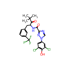 CC(C)(C)C(=O)C(Cc1cccc(C(F)(F)F)c1)NC(=O)c1ncn(-c2cc(Cl)c(O)c(Cl)c2)n1